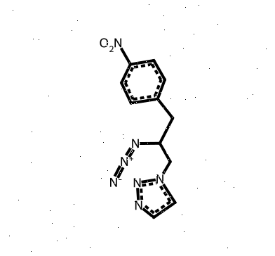 [N-]=[N+]=NC(Cc1ccc([N+](=O)[O-])cc1)Cn1ccnn1